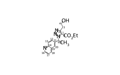 CCOC(=O)c1c(CCO)nnn1C(C)c1ccc2ncccc2c1